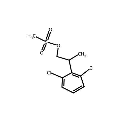 CC(COS(C)(=O)=O)c1c(Cl)cccc1Cl